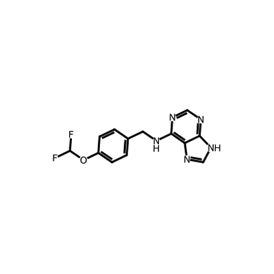 FC(F)Oc1ccc(CNc2ncnc3[nH]cnc23)cc1